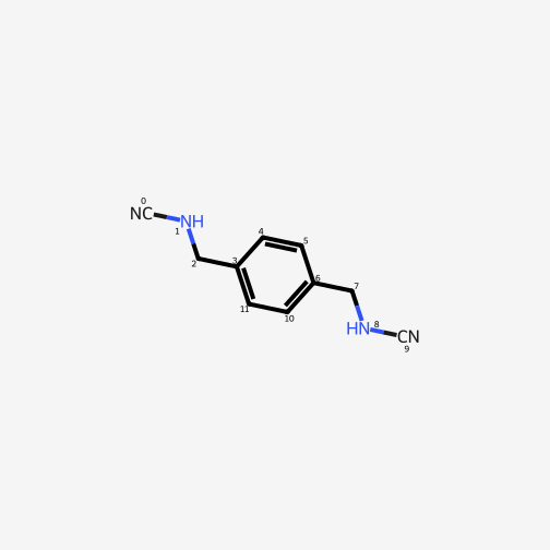 N#CNCc1ccc(CNC#N)cc1